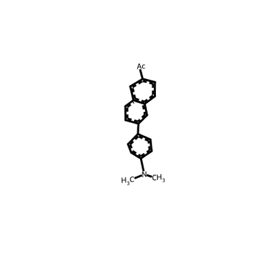 CC(=O)c1ccc2cc(-c3ccc(N(C)C)cc3)ccc2c1